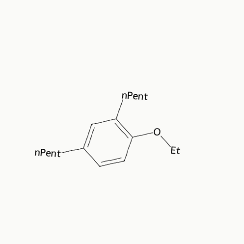 [CH2]COc1ccc(CCCCC)cc1CCCCC